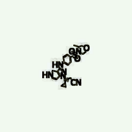 CC1COCCN1S(=O)(=O)c1ccc(Nc2nn([C@@H](CC#N)C3CC3)c3c2CNC=C3)cc1